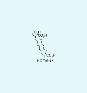 CCCCCCC(O)CCCCCCCCCCC(=O)O.O=C(O)CCCCCCCC(=O)O